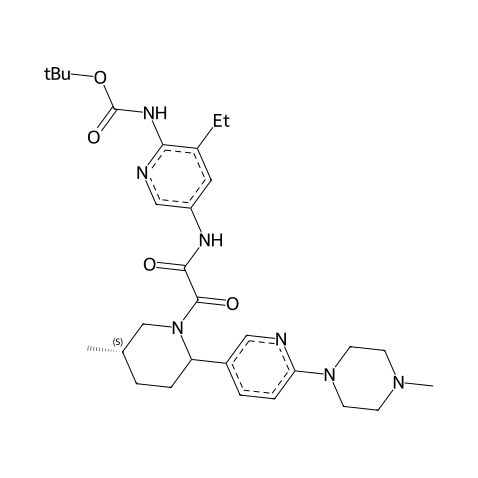 CCc1cc(NC(=O)C(=O)N2C[C@@H](C)CCC2c2ccc(N3CCN(C)CC3)nc2)cnc1NC(=O)OC(C)(C)C